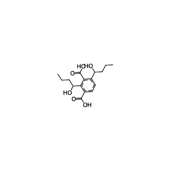 CCCC(O)c1ccc(C(=O)O)c(C(O)CCC)c1C(=O)O